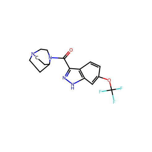 O=C(c1n[nH]c2cc(OC(F)(F)F)ccc12)N1CCN2CCC1CC2